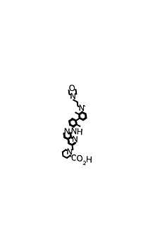 Cc1c(Nc2nccc3cc(CN4CCCCC4C(=O)O)cnc23)cccc1-c1cccc(N(C)CCCN2CCOCC2)c1C